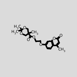 Cc1cc(=O)oc2cc(OCCOC(=O)C3(C)COC(C)(C)OC3)ccc12